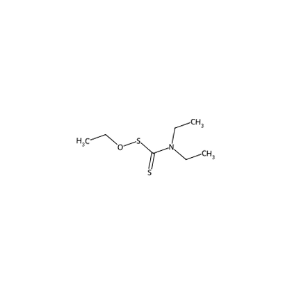 CCOSC(=S)N(CC)CC